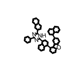 c1ccc(C2=NC(c3ccc(-c4cccc5oc6ccc(-c7cccc8ccccc78)cc6c45)c4ccccc34)NC(c3ccc4ccccc4c3)=N2)cc1